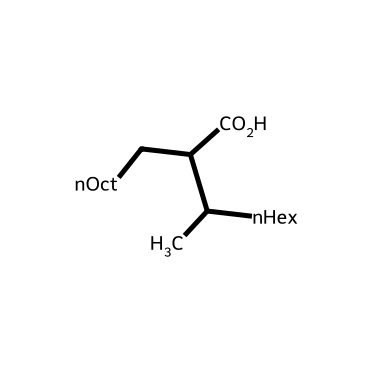 CCCCCCCCCC(C(=O)O)C(C)CCCCCC